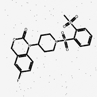 CS(=O)(=O)c1ccccc1S(=O)(=O)N1CCC(N2C(=O)OCc3cc(F)ccc32)CC1